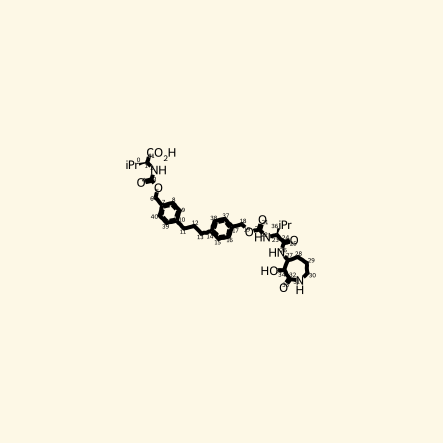 CC(C)[C@H](NC(=O)OCc1ccc(CCCc2ccc(COC(=O)N[C@H](C(=O)NC3CCCNC(=O)C3O)C(C)C)cc2)cc1)C(=O)O